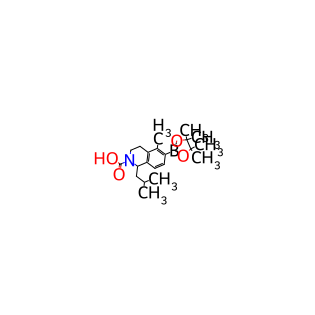 Cc1c(B2OC(C)(C)C(C)(C)O2)ccc2c1CCN(C(=O)O)C2CC(C)C